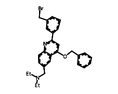 CCN(CC)Cc1ccc2nc(-c3cccc(CBr)c3)cc(OCc3ccccc3)c2c1